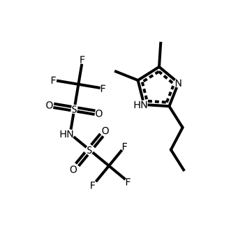 CCCc1nc(C)c(C)[nH]1.O=S(=O)(NS(=O)(=O)C(F)(F)F)C(F)(F)F